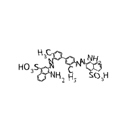 Cc1cc(-c2ccc(C)c(/N=N/c3cc(S(=O)(=O)O)c4ccccc4c3N)c2)ccc1/N=N/C1=C(N)C2=CC=CCC2C(S(=O)(=O)O)=C1